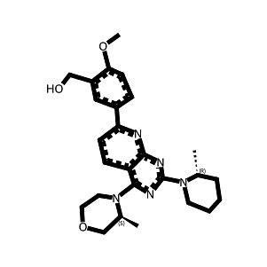 COc1ccc(-c2ccc3c(N4CCOC[C@@H]4C)nc(N4CCCC[C@H]4C)nc3n2)cc1CO